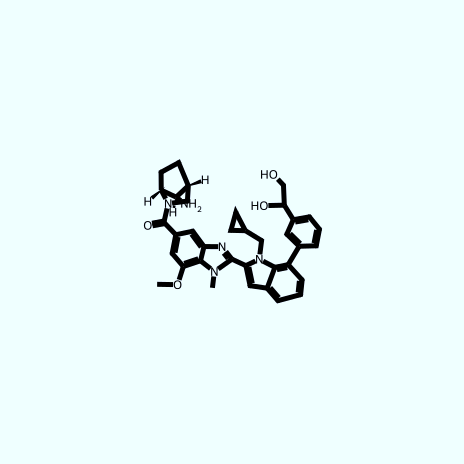 COc1cc(C(=O)N2C[C@H]3CC[C@@H]2[C@@H]3N)cc2nc(-c3cc4cccc(-c5cccc(C(O)CO)c5)c4n3CC3CC3)n(C)c12